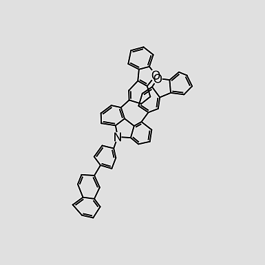 C1=C(c2cccc3c2c2c(-c4ccc5oc6ccccc6c5c4)cccc2n3-c2ccc(-c3ccc4ccccc4c3)cc2)CCc2oc3ccccc3c21